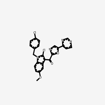 COc1ccc2c(c1)c(C(=O)c1ncc(-c3ccncn3)o1)c(Cl)n2Cc1ccc(Cl)cc1